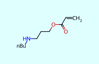 C=CC(=O)OCCCNCCCC